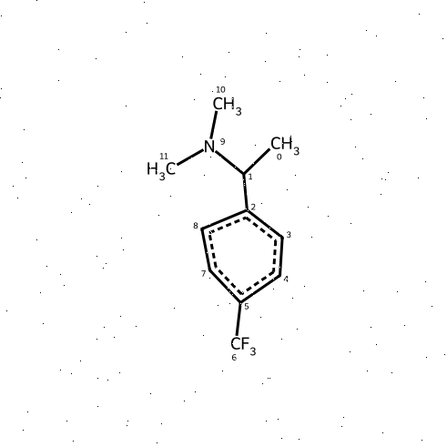 CC(c1ccc(C(F)(F)F)cc1)N(C)C